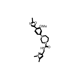 COc1cc(N2CCCN(C(=O)NCc3cc(C)n(C)n3)CC2)ccc1-c1cnc(C)o1